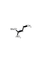 C=C/C=C(\OC)[N+](=O)[O-]